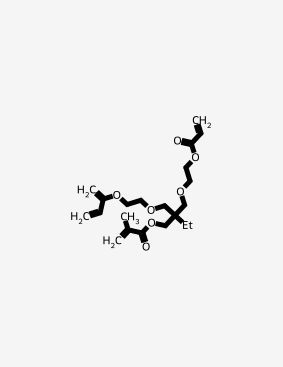 C=CC(=C)OCCOCC(CC)(COCCOC(=O)C=C)COC(=O)C(=C)C